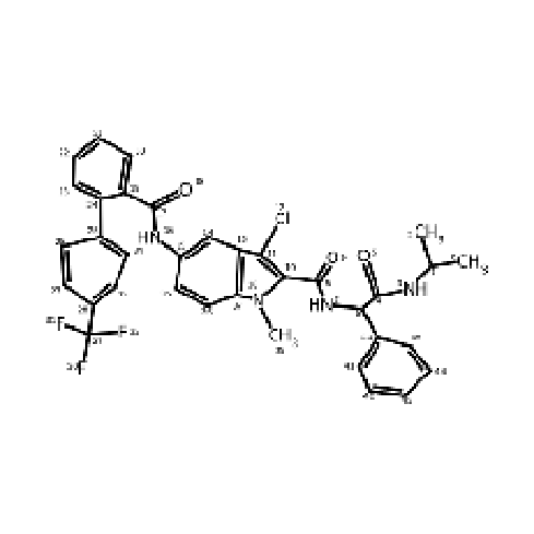 CC(C)NC(=O)C(NC(=O)c1c(Cl)c2cc(NC(=O)c3ccccc3-c3ccc(C(F)(F)F)cc3)ccc2n1C)c1ccccc1